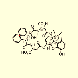 Cc1ccc(O)c2c1[C@]13CCN(C)[C@H](C)[C@]1(OC(=O)C[C@H](NC(=O)[C@@H](O)c1ccccc1)C(=O)O)CC=C(OC(=O)C[C@H](NC(=O)[C@@H](O)c1ccccc1)C(=O)O)[C@@H]3O2